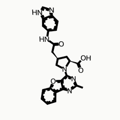 Cc1nc(N2C[C@@H](CC(=O)Nc3ccc4nc[nH]c4c3)C[C@H]2C(=O)O)c2oc3ccccc3c2n1